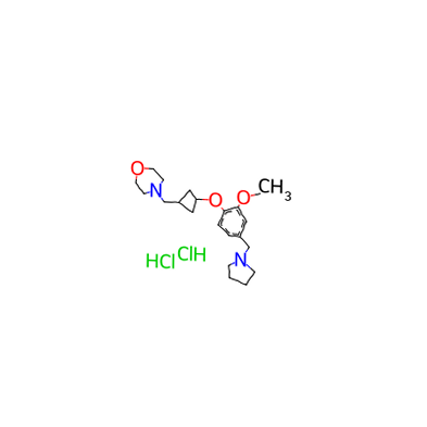 CCOc1cc(CN2CCCC2)ccc1OC1CC(CN2CCOCC2)C1.Cl.Cl